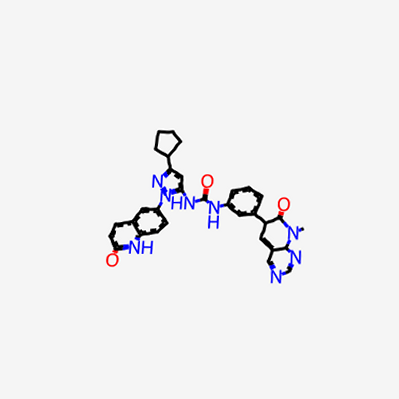 CN1C(=O)C(c2cccc(NC(=O)Nc3cc(C4CCCC4)nn3-c3ccc4[nH]c(=O)ccc4c3)c2)C=C2C=NC=NC21